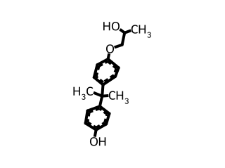 CC(O)COc1ccc(C(C)(C)c2ccc(O)cc2)cc1